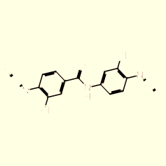 O=C(Nc1ccc(N=C=S)c(Cl)c1)c1ccc(N=C=S)c(Cl)c1